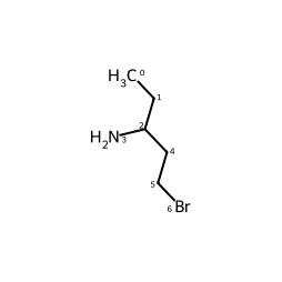 CCC(N)CCBr